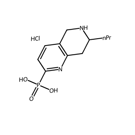 CCCC1Cc2nc(P(=O)(O)O)ccc2CN1.Cl